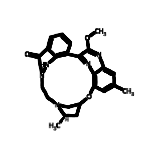 COc1nc2cc(C)cc3c2nc1-c1cccc2c(=O)n([nH]c12)CCN1CC(C[C@H]1C)O3